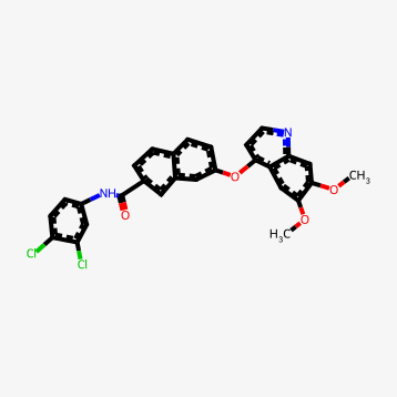 COc1cc2nccc(Oc3ccc4ccc(C(=O)Nc5ccc(Cl)c(Cl)c5)cc4c3)c2cc1OC